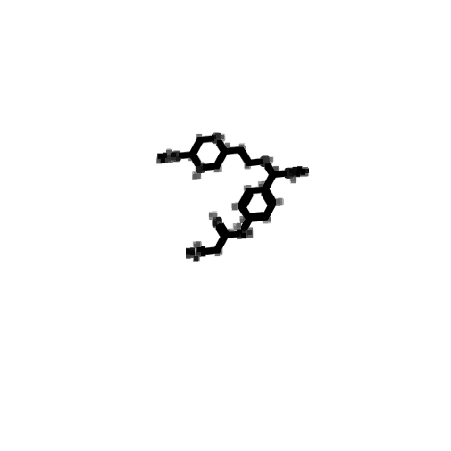 COC1COC(CCOC(OC)c2ccc(NC(=O)CN)cc2)CO1